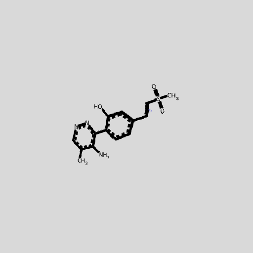 Cc1cnnc(-c2ccc(/C=C/S(C)(=O)=O)cc2O)c1N